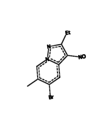 CCc1nn2cc(C)c(Br)cc2c1N=O